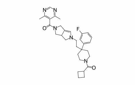 Cc1ncnc(C)c1C(=O)N1CC2=CN(CCC3(c4cccc(F)c4)CCN(C(=O)C4CCC4)CC3)CC2C1